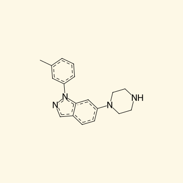 Cc1cccc(-n2ncc3ccc(N4CCNCC4)cc32)c1